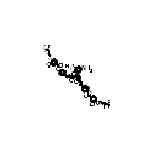 COc1cc(C(=O)Oc2ccc(/C=C/C(=O)CC(c3cc(N)cc(N)c3)C(O)(O)C(=O)/C=C/c3ccc(OC(=O)c4ccc(OCCCC(F)(F)F)c(OC)c4)cc3)cc2)ccc1OCCCC(F)(F)F